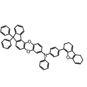 C1=Cc2oc3c(c2CC1)=CCCC=3c1ccc(N(c2ccccc2)c2ccc3c(c2)Oc2ccc4c(c2O3)-c2ccccc2C4(c2ccccc2)c2ccccc2)cc1